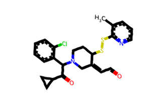 Cc1cccnc1SSC1CCN(C(C(=O)C2CC2)c2ccccc2Cl)C/C1=C/C=O